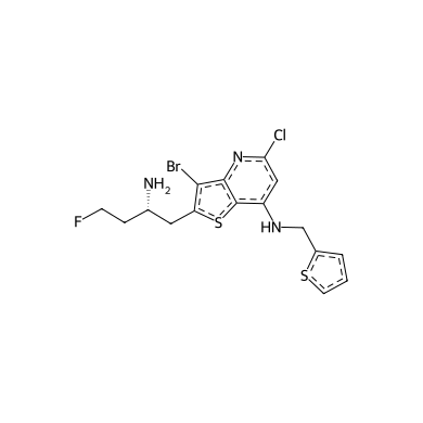 N[C@@H](CCF)Cc1sc2c(NCc3cccs3)cc(Cl)nc2c1Br